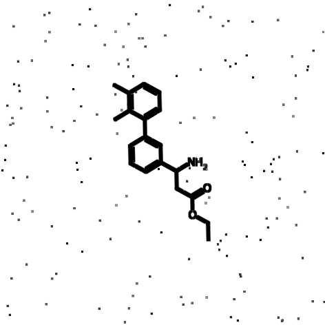 CCOC(=O)CC(N)c1cccc(-c2cccc(C)c2C)c1